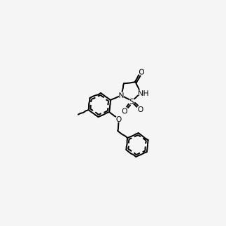 Cc1ccc(N2CC(=O)NS2(=O)=O)c(OCc2ccccc2)c1